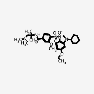 CCOc1ccc2c(c1)N(C1CCCCC1)C[N+]2([O-])S(=O)(=O)c1ccc(C(=O)NC(C)(C)CN(C)C)cc1OC